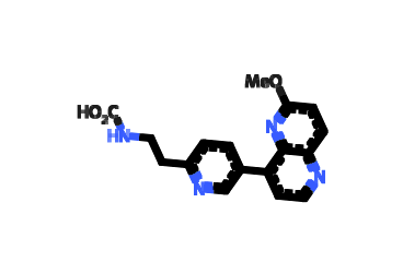 COc1ccc2nccc(-c3ccc(CCNC(=O)O)nc3)c2n1